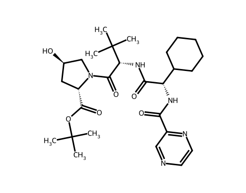 CC(C)(C)OC(=O)[C@@H]1C[C@@H](O)CN1C(=O)[C@@H](NC(=O)[C@@H](NC(=O)c1cnccn1)C1CCCCC1)C(C)(C)C